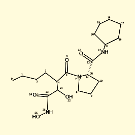 CCCCC(C(=O)N1CCC[C@H]1C(=O)NC1CCCCC1)C(O)C(=O)NO